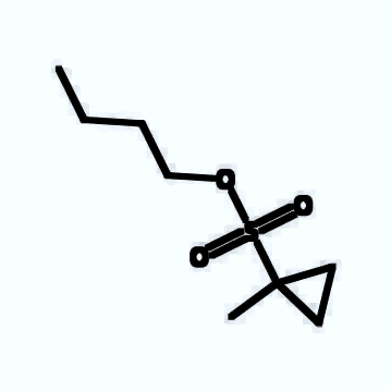 CCCCOS(=O)(=O)C1(C)CC1